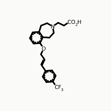 O=C(O)CCN1CCc2cccc(OC/C=C/c3ccc(C(F)(F)F)cc3)c2CC1